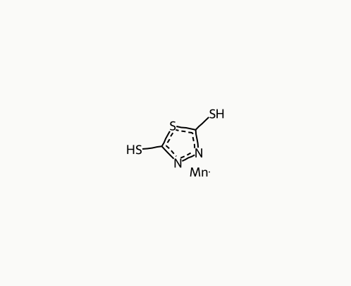 Sc1nnc(S)s1.[Mn]